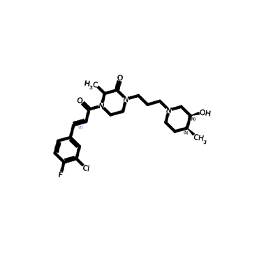 CC1C(=O)N(CCCN2CC[C@H](C)[C@H](O)C2)CCN1C(=O)/C=C/c1ccc(F)c(Cl)c1